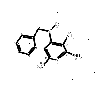 CCN(Cc1ccccc1)c1cc(C(F)(F)F)nc(N)c1N